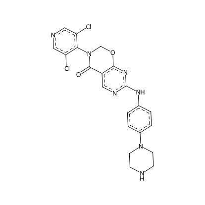 O=C1c2cnc(Nc3ccc(N4CCNCC4)cc3)nc2OCN1c1c(Cl)cncc1Cl